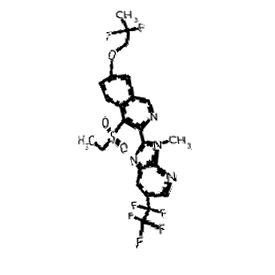 CCS(=O)(=O)c1c(-c2nc3cc(C(F)(F)C(F)(F)F)cnc3n2C)ncc2cc(OCC(C)(F)F)ccc12